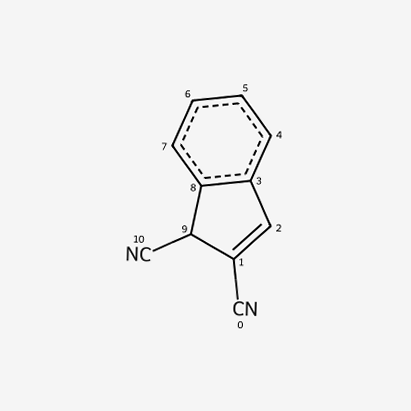 N#CC1=Cc2ccccc2C1C#N